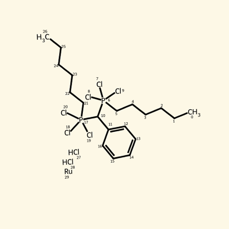 CCCCCCP(Cl)(Cl)(Cl)C(c1ccccc1)P(Cl)(Cl)(Cl)CCCCCC.Cl.Cl.[Ru]